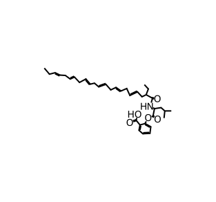 CCC=CCC=CCC=CCC=CCC=CCC=CCC(CC)C(=O)NC(CC(C)C)C(=O)Oc1ccccc1C(=O)O